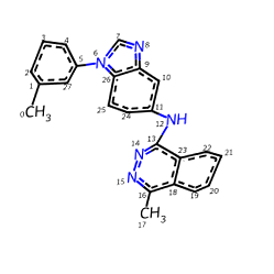 Cc1cccc(-n2cnc3cc(Nc4nnc(C)c5ccccc45)ccc32)c1